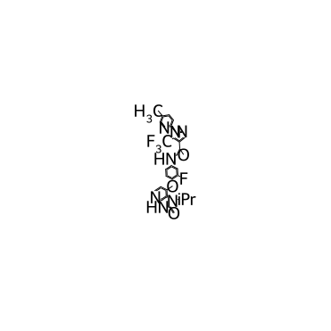 Cc1ccc(-n2ncc(C3OC3Nc3ccc(Oc4ccnc5[nH]c(=O)n(C(C)C)c45)c(F)c3)c2C(F)(F)F)nc1